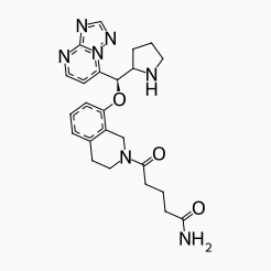 NC(=O)CCCC(=O)N1CCc2cccc(O[C@@H](c3ccnc4ncnn34)C3CCCN3)c2C1